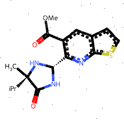 COC(=O)c1cc2ccsc2nc1[C@@H]1NC(=O)[C@@](C)(C(C)C)N1